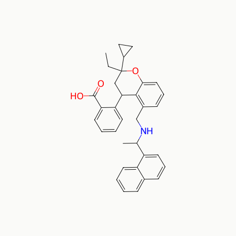 CCC1(C2CC2)CC(c2ccccc2C(=O)O)c2c(CNC(C)c3cccc4ccccc34)cccc2O1